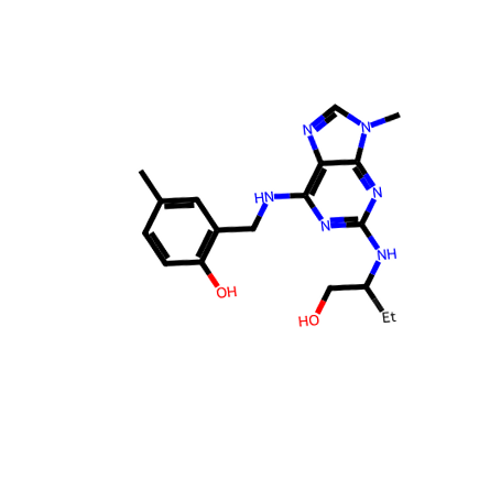 CCC(CO)Nc1nc(NCc2cc(C)ccc2O)c2ncn(C)c2n1